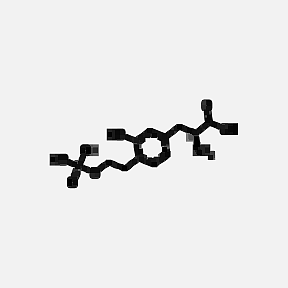 N[C@@H](Cc1ccc(CCOP(=O)(O)O)c(O)c1)C(=O)O